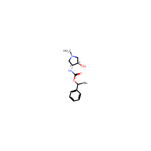 CC(C)(C)C(OC(=O)N[C@@H]1CN(C(=O)O)C[C@H]1O)c1ccccc1